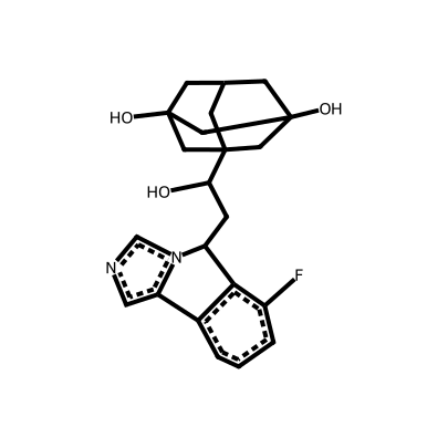 OC(CC1c2c(F)cccc2-c2cncn21)C12CC3CC(O)(CC(O)(C3)C1)C2